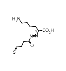 NCCCC[C@H](N=NC(=O)CCC=S)C(=O)O